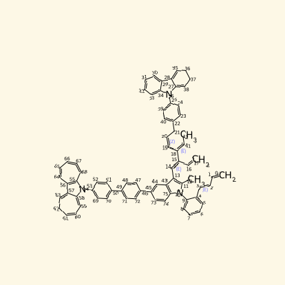 C=C/C=C/c1ccccc1-n1c(C)c(/C=C(C=C)/C(/C=C\Cc2ccc(-n3c4c(c5ccccc53)=CCCC=4)cc2)=C/C)c2cc(-c3ccc(-c4ccc(-n5c6c(c7c5=CC=CCC=7)C=CC=C=C6)cc4)cc3)ccc21